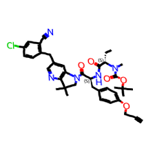 C#CCOc1ccc(C[C@H](NC(=O)[C@H](CC)N(C)C(=O)OC(C)(C)C)C(=O)N2CC(C)(C)c3ncc(Cc4ccc(Cl)cc4C#N)cc32)cc1